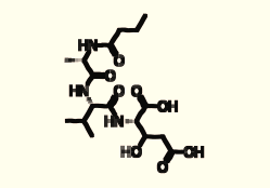 CCCC(=O)N[C@@H](C)C(=O)N[C@H](C(=O)N[C@H](C(=O)O)C(O)CC(=O)O)C(C)C